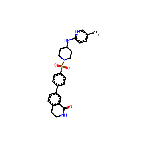 O=C1NCCc2ccc(-c3ccc(S(=O)(=O)N4CCC(Nc5ccc(C(F)(F)F)cn5)CC4)cc3)cc21